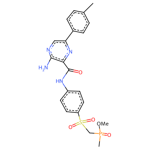 COP(C)(=O)CS(=O)(=O)c1ccc(NC(=O)c2nc(-c3ccc(C)cc3)cnc2N)cc1